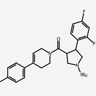 CC(C)(C)N1CC(C(=O)N2CC=C(c3[c]cc(Cl)cc3)CC2)C(c2ccc(F)cc2F)C1